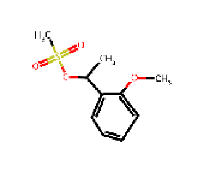 COc1ccccc1C(C)OS(C)(=O)=O